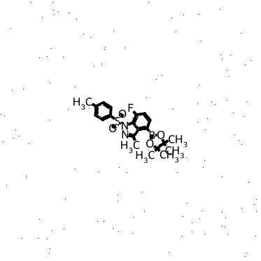 Cc1ccc(S(=O)(=O)n2nc(C)c3c(B4OC(C)(C)C(C)(C)O4)ccc(F)c32)cc1